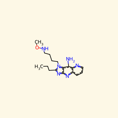 CCCc1nc2nc3cccnc3c(N)c2n1CCCCNOC